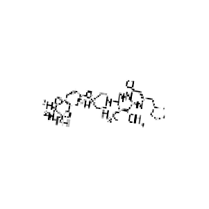 [2H]C1(Oc2ccc3c(c2)OC([2H])([2H])C([2H])([2H])O3)CCN(c2nn3c(=O)cc(CC4CCCC4)nc3c(C)c2C)CC1